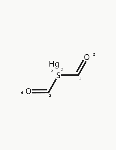 O=CSC=O.[Hg]